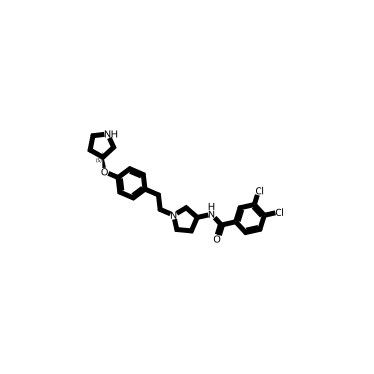 O=C(NC1CCN(CCc2ccc(O[C@H]3CCNC3)cc2)C1)c1ccc(Cl)c(Cl)c1